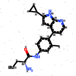 Cc1cc(NC(=O)[C@H](N)CC(C)(C)C)ccc1-c1ccnc2[nH]c(C3CC3)cc12